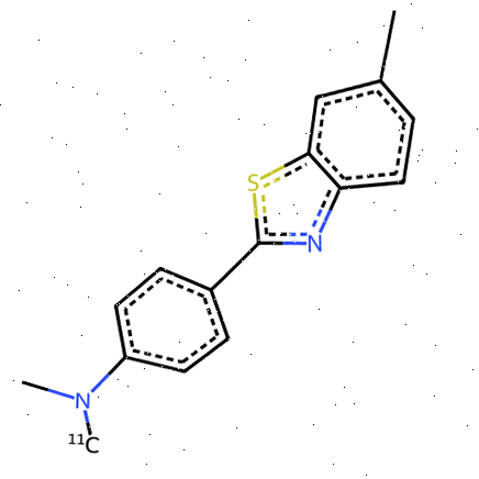 Cc1ccc2nc(-c3ccc(N(C)[11CH3])cc3)sc2c1